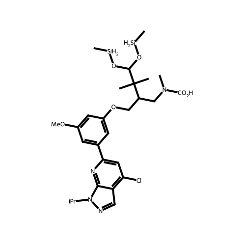 COc1cc(OCC(CN(C)C(=O)O)C(C)(C)C(O[SiH2]C)O[SiH2]C)cc(-c2cc(Cl)c3cnn(C(C)C)c3n2)c1